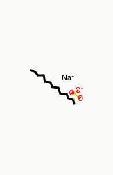 CCCCCCCCCCCC(C)S(=O)(=O)[O-].[Na+]